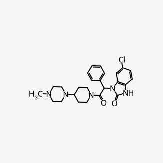 CN1CCN(C2CCN(C(=O)C(c3ccccc3)n3c(=O)[nH]c4ccc(Cl)cc43)CC2)CC1